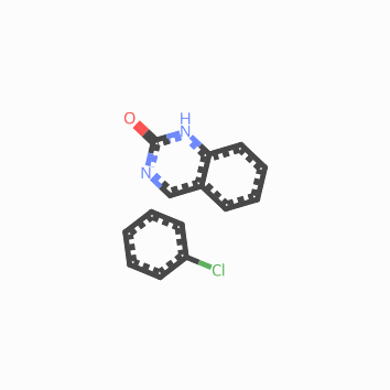 Clc1ccccc1.O=c1ncc2ccccc2[nH]1